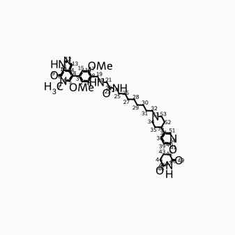 COc1cc(-c2cn(C)c(=O)c3[nH]ncc23)cc(OC)c1CNCC(=O)NCCCCCCCCN1CCC(c2ccc(OC3CCC(=O)NC3=O)nc2)CC1